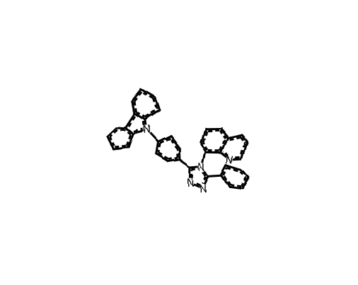 c1ccc(-c2nnc(-c3ccc(-n4c5ccccc5c5ccccc54)cc3)n2-c2cccc3cccnc23)cc1